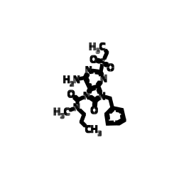 CCCN(C)C(=O)n1c(=O)n(Cc2ccccc2)c2nc(S(=O)(=O)CC)nc(N)c21